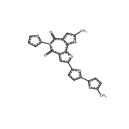 Cc1ccc(-c2ccc(-c3cc4c(=O)n(-c5cccs5)c(=O)c5cc(C)sc5c4s3)s2)s1